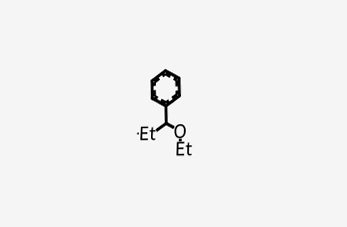 C[CH]C(OCC)c1ccccc1